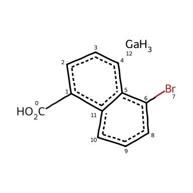 O=C(O)c1cccc2c(Br)cccc12.[GaH3]